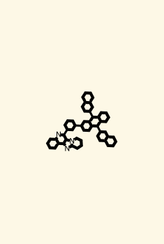 c1cc(-c2ccc3c(-c4ccc5ccccc5c4)c4ccccc4c(-c4ccc5ccccc5c4)c3c2)cc(-c2nc3ccccc3c3nc4ccccn4c23)c1